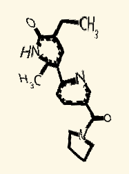 CCc1cc(-c2ccc(C(=O)N3CCCC3)cn2)c(C)[nH]c1=O